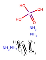 C=C.C=C.C=C.N.N.N.N.O=P(O)(O)O